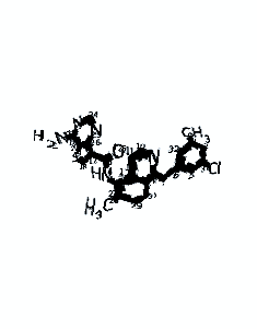 Cc1cc(Cl)cc(Cc2nccc3c(NC(=O)c4csc5c(N)ncnc45)c(C)ccc23)c1